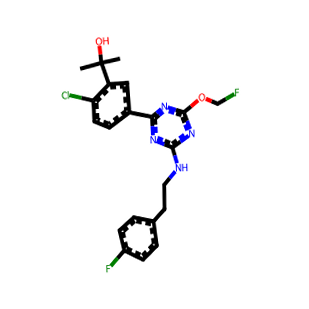 CC(C)(O)c1cc(-c2nc(NCCc3ccc(F)cc3)nc(OCF)n2)ccc1Cl